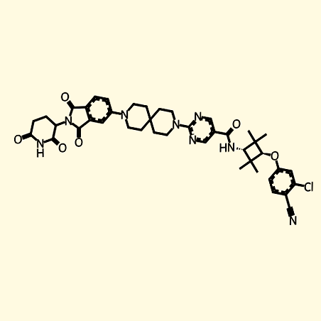 CC1(C)[C@H](NC(=O)c2cnc(N3CCC4(CCN(c5ccc6c(c5)C(=O)N(C5CCC(=O)NC5=O)C6=O)CC4)CC3)nc2)C(C)(C)[C@H]1Oc1ccc(C#N)c(Cl)c1